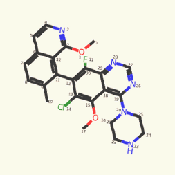 COc1nccc2ccc(C)c(-c3c(Cl)c(OC)c4c(N5CCNCC5)ncnc4c3F)c12